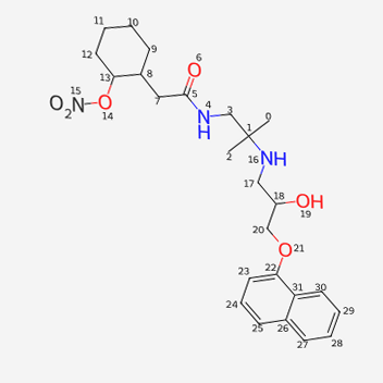 CC(C)(CNC(=O)CC1CCCCC1O[N+](=O)[O-])NCC(O)COc1cccc2ccccc12